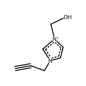 C#CCn1cc[n+](CO)c1